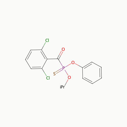 CC(C)OP(=S)(Oc1ccccc1)C(=O)c1c(Cl)cccc1Cl